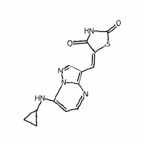 O=C1NC(=O)C(=Cc2cnn3c(NC4CC4)ccnc23)S1